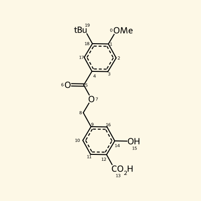 COc1ccc(C(=O)OCc2ccc(C(=O)O)c(O)c2)cc1C(C)(C)C